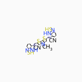 Cn1c2cc(/C=C(\C#N)C3=CC=C/C(=N/S)C3=N)sc2c2sc(/C=C(\C#N)C3=CC=C/C(=N/S)C3=N)cc21